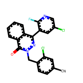 N#Cc1ccc(Cn2nc(-c3cc(Cl)cnc3F)c3ccccc3c2=O)c(Cl)c1